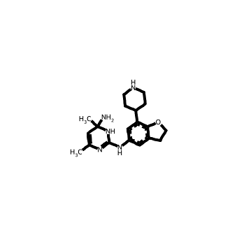 CC1=CC(C)(N)NC(Nc2cc3c(c(C4CCNCC4)c2)OCC3)=N1